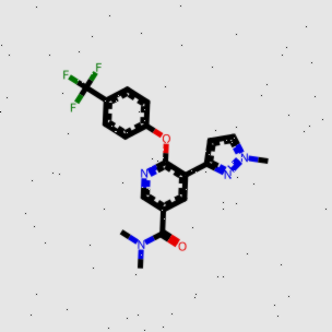 CN(C)C(=O)c1cnc(Oc2ccc(C(F)(F)F)cc2)c(-c2ccn(C)n2)c1